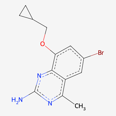 Cc1nc(N)nc2c(OCC3CC3)cc(Br)cc12